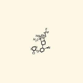 CN1c2cc(-c3cc(Oc4nccnc4Cl)ccc3C#N)ccc2N(CC2CC2(F)F)S1(O)O